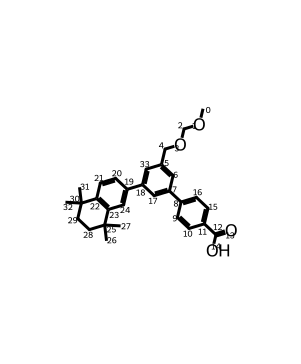 COCOCc1cc(-c2ccc(C(=O)O)cc2)cc(-c2ccc3c(c2)C(C)(C)CCC3(C)C)c1